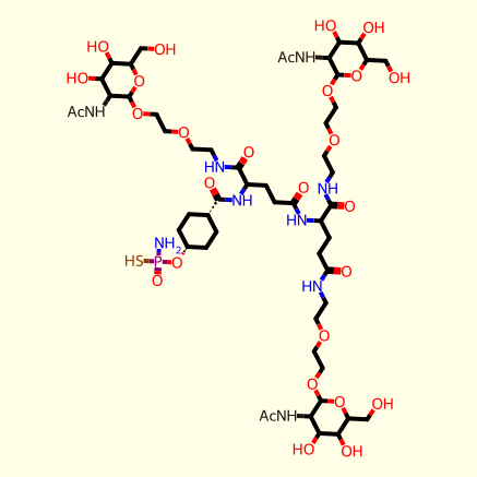 CC(=O)NC1C(OCCOCCNC(=O)CCC(NC(=O)CCC(NC(=O)[C@H]2CC[C@@H](OP(N)(=O)S)CC2)C(=O)NCCOCCOC2OC(CO)C(O)C(O)C2NC(C)=O)C(=O)NCCOCCOC2OC(CO)C(O)C(O)C2NC(C)=O)OC(CO)C(O)C1O